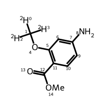 [2H]C([2H])([2H])Oc1cc(N)ccc1C(=O)OC